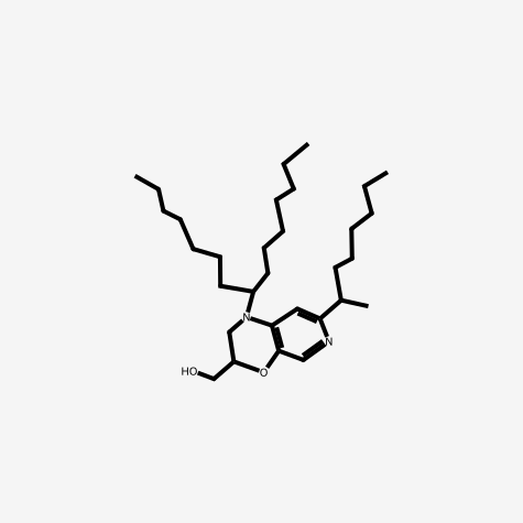 CCCCCCCC(CCCCCCC)N1CC(CO)Oc2cnc(C(C)CCCCCC)cc21